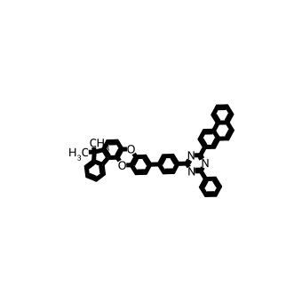 CC1(C)c2ccccc2-c2c1ccc1c2Oc2ccc(-c3ccc(-c4nc(-c5ccccc5)nc(-c5ccc6c(ccc7ccccc76)c5)n4)cc3)cc2O1